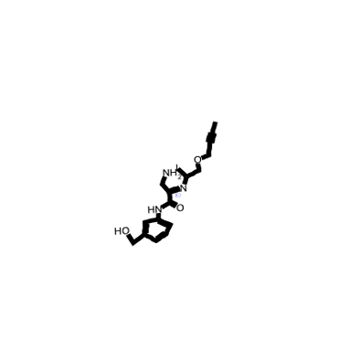 CC#CCOCC(I)/N=C(\CN)C(=O)Nc1cccc(CO)c1